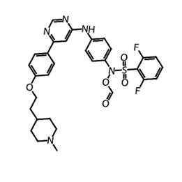 CN1CCC(CCOc2ccc(-c3cc(Nc4ccc(N(OC=O)S(=O)(=O)c5c(F)cccc5F)cc4)ncn3)cc2)CC1